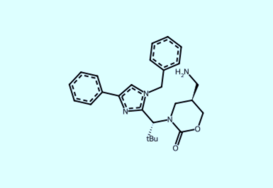 CC(C)(C)[C@H](c1nc(-c2ccccc2)cn1Cc1ccccc1)N1C[C@@H](CN)COC1=O